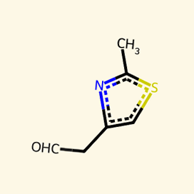 Cc1nc(CC=O)cs1